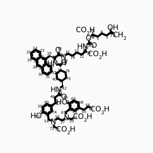 C=C(O)CCC[C@H](OC(=O)N[C@@H](CCCCNC(=O)[C@H](Cc1c2ccccc2cc2ccccc12)NC(=O)[C@H]1CC[C@H](CNC(=O)CCc2ccc(O)c(CN(CCN(CC(=O)O)Cc3cc(CCC(=O)O)ccc3O)CC(=O)O)c2)CC1)C(=O)O)C(=O)O